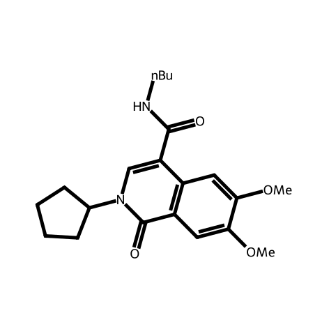 CCCCNC(=O)c1cn(C2CCCC2)c(=O)c2cc(OC)c(OC)cc12